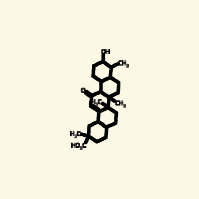 CC1C(O)CCC2C1CCC1(C)C2C(=O)C=C2C3CC(C)(C(=O)O)CCC3CCC21C